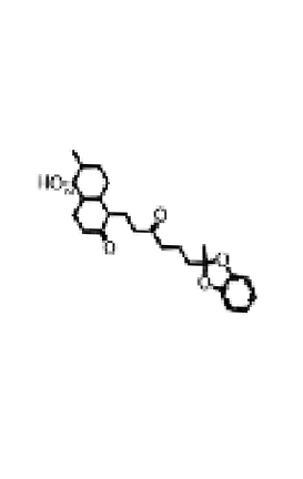 CC1CCC2C(CCC(=O)CCCC3(C)Oc4ccccc4O3)C(=O)CCC2[C@H]1O